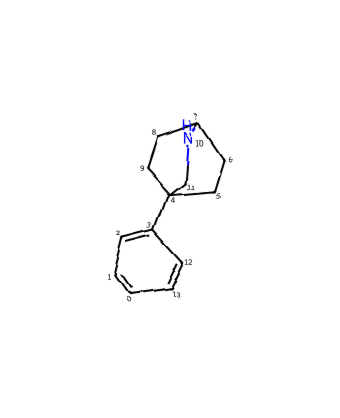 c1ccc(C23CCC(CC2)NC3)cc1